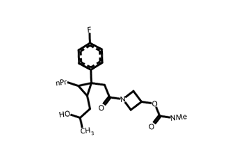 CCCC1C(CC(C)O)C1(CC(=O)N1CC(OC(=O)NC)C1)c1ccc(F)cc1